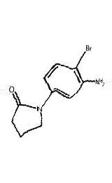 Nc1cc(N2CCCC2=O)ccc1Br